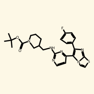 CC(C)(C)OC(=O)N1CCCC(CNc2nccc(-c3c(-c4ccc(F)cc4)nc4sccn34)n2)C1